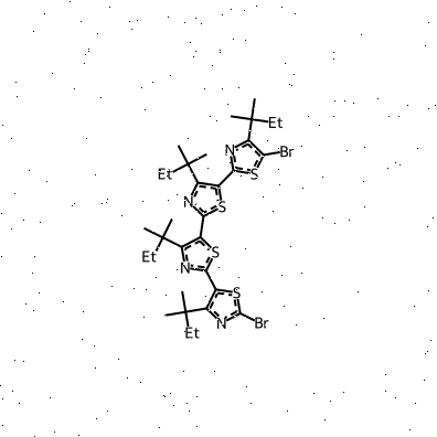 CCC(C)(C)c1nc(-c2sc(-c3sc(-c4sc(Br)nc4C(C)(C)CC)nc3C(C)(C)CC)nc2C(C)(C)CC)sc1Br